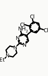 CCN1CCN(c2ncc(-c3cc(Cl)cc(Cl)c3Cl)c(N)n2)CC1